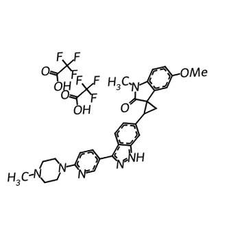 COc1ccc2c(c1)C1(CC1c1ccc3c(-c4ccc(N5CCN(C)CC5)nc4)n[nH]c3c1)C(=O)N2C.O=C(O)C(F)(F)F.O=C(O)C(F)(F)F